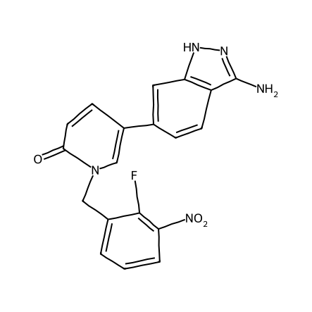 Nc1n[nH]c2cc(-c3ccc(=O)n(Cc4cccc([N+](=O)[O-])c4F)c3)ccc12